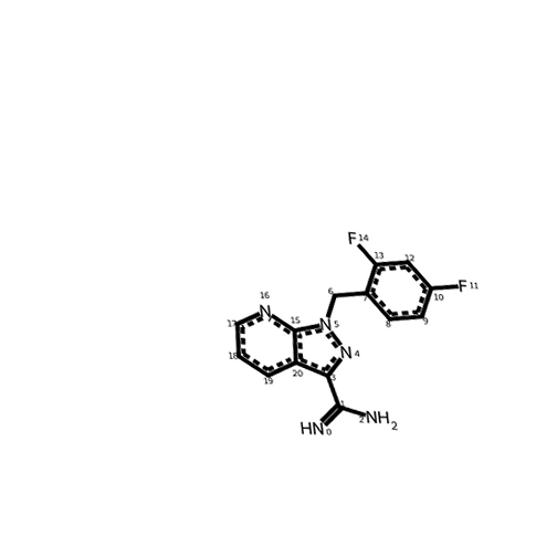 N=C(N)c1nn(Cc2ccc(F)cc2F)c2ncccc12